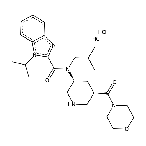 CC(C)CN(C(=O)c1nc2ccccc2n1C(C)C)[C@@H]1CNC[C@H](C(=O)N2CCOCC2)C1.Cl.Cl